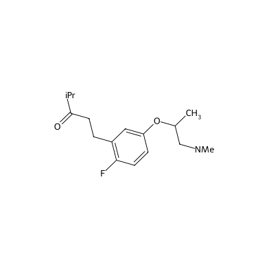 CNCC(C)Oc1ccc(F)c(CCC(=O)C(C)C)c1